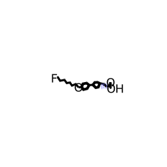 O=C(O)/C=C/c1ccc(-c2ccc(OCCCCCCCF)cc2)cc1